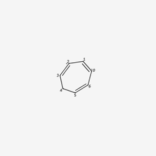 [C]1=C[C]=CCC=C1